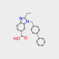 CCc1nc2ccc(C(=O)O)cc2n1Cc1ccc(-c2ccccc2)cc1